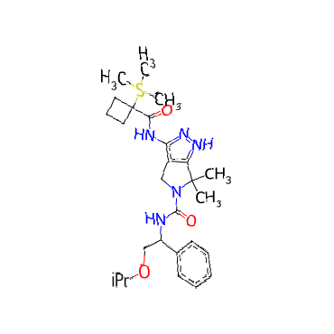 CC(C)OCC(NC(=O)N1Cc2c(NC(=O)C3(S(C)(C)C)CCC3)n[nH]c2C1(C)C)c1ccccc1